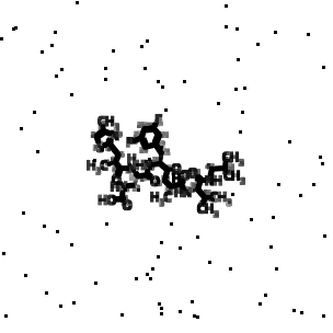 Cc1csc(C[C@H](C)C(=O)N[C@@H](CNC(=O)O)C(=O)N[C@@H](Cc2cc(F)cc(F)c2)[C@@H](O)C[C@@H](C)C(=O)N[C@H](C(=O)NCC(C)C)C(C)C)n1